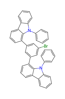 Brc1cc(-c2cccc3c4ccccc4n(-c4ccccc4)c23)cc(-c2cccc3c4ccccc4n(-c4ccccc4)c23)c1